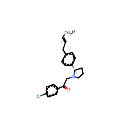 O=C(O)/C=C/Cc1ccc([C@@H]2CCCN2CC(=O)c2ccc(Cl)cc2)cc1